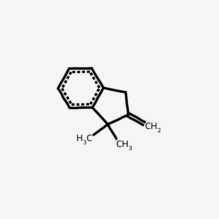 C=C1Cc2ccccc2C1(C)C